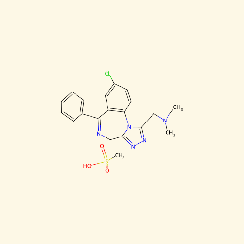 CN(C)Cc1nnc2n1-c1ccc(Cl)cc1C(c1ccccc1)=NC2.CS(=O)(=O)O